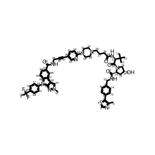 Cc1ncsc1-c1ccc(CNC(=O)[C@@H]2C[C@@H](O)CN2C(=O)[C@@H](NC(=O)CCCN2CCN(c3ccc(C#CCNC(=O)c4ccc5c(c4)c4cn(C)nc4n5-c4ccc(C(F)(F)F)cc4)cn3)CC2)C(C)(C)C)cc1